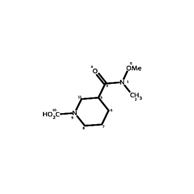 CON(C)C(=O)C1CCCN(C(=O)O)C1